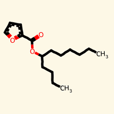 CCCCCCC(CCCC)OC(=O)c1ccco1